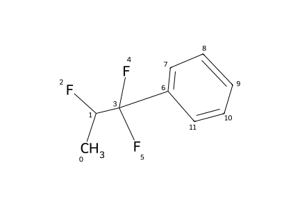 CC(F)C(F)(F)c1ccccc1